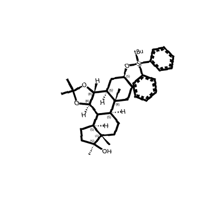 CC1(C)O[C@H]2[C@H](O1)C1[C@H](CC[C@@]3(C)[C@H]1CC[C@]3(C)O)[C@@]1(C)CC[C@H](O[Si](c3ccccc3)(c3ccccc3)C(C)(C)C)C[C@H]21